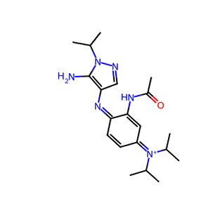 CC(=O)NC1=CC(=[N+](C(C)C)C(C)C)C=C/C1=N/c1cnn(C(C)C)c1N